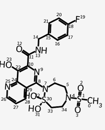 CS(=O)(=O)N1CCN(c2nc(C(=O)NCc3ccc(F)cc3)c(O)c3ncccc23)S(O)(O)CC1